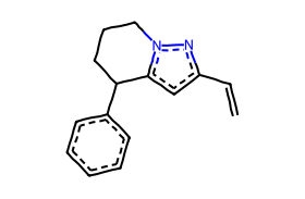 C=Cc1cc2n(n1)CCCC2c1ccccc1